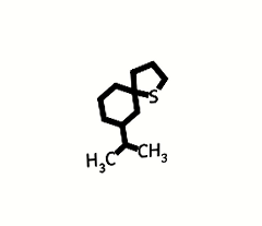 CC(C)C1CCCC2(CCCS2)C1